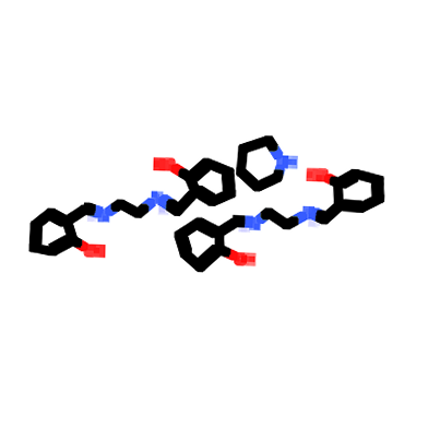 C1CCNCC1.Oc1ccccc1/C=N/CC/N=C/c1ccccc1O.Oc1ccccc1/C=N/CC/N=C/c1ccccc1O